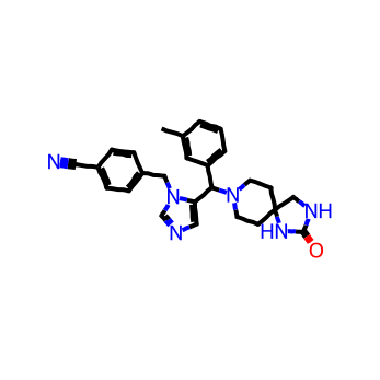 Cc1cccc(C(c2cncn2Cc2ccc(C#N)cc2)N2CCC3(CC2)CNC(=O)N3)c1